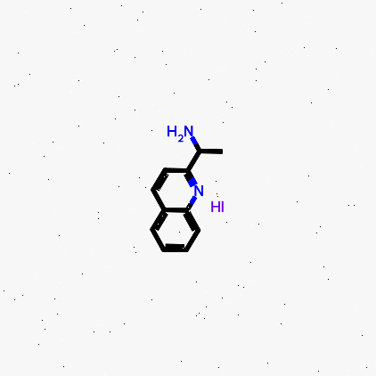 CC(N)c1ccc2ccccc2n1.I